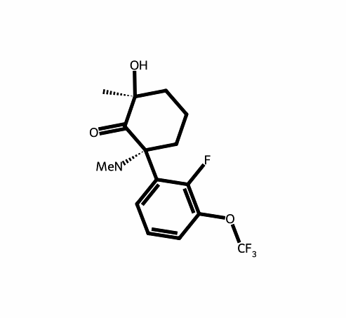 CN[C@@]1(c2cccc(OC(F)(F)F)c2F)CCC[C@](C)(O)C1=O